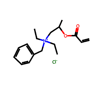 C=CC(=O)OC(C)C[N+](CC)(CC)Cc1ccccc1.[Cl-]